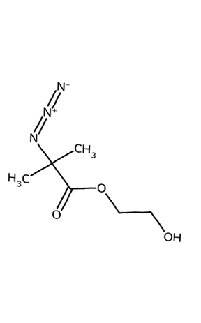 CC(C)(N=[N+]=[N-])C(=O)OCCO